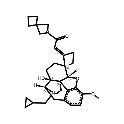 COc1ccc2c3c1O[C@H]1[C@@]4(CC/C4=C\C(=O)N4CC5(CCC5)C4)CC[C@@]4(O)[C@@H](C2)N(CC2CC2)CC[C@]314